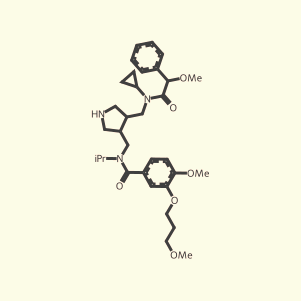 COCCCOc1cc(C(=O)N(CC2CNCC2CN(C(=O)C(OC)c2ccccc2)C2CC2)C(C)C)ccc1OC